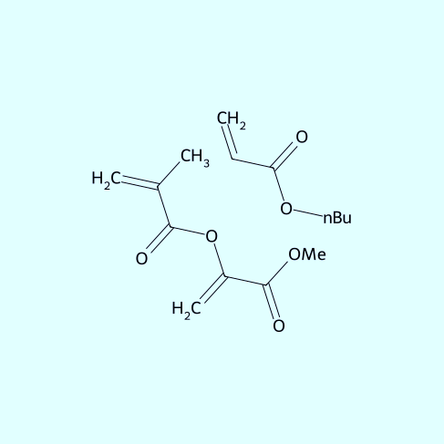 C=C(C)C(=O)OC(=C)C(=O)OC.C=CC(=O)OCCCC